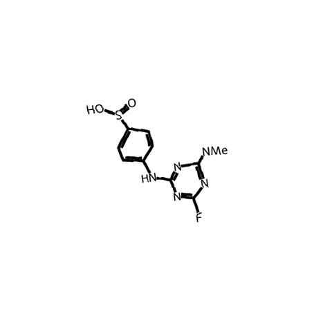 CNc1nc(F)nc(Nc2ccc(S(=O)O)cc2)n1